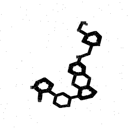 COc1ccnc(CNc2ccc3c(c2)Sc2cccc(C4CN(c5ccc[nH]c5=O)CCO4)c2S3)c1